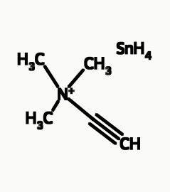 C#C[N+](C)(C)C.[SnH4]